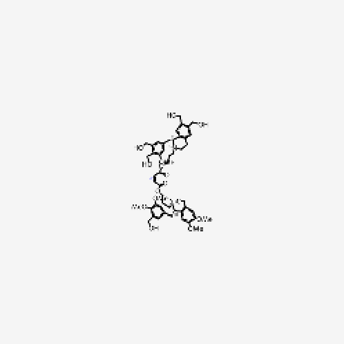 COc1cc2c(cc1OC)[C@@H](Cc1cc(CO)c(OC)c(OC)c1)[N@+](C)(CCCOC(=O)/C=C\C(=O)OCCC[N@+]1(C)CCc3cc(CO)c(CO)cc3[C@H]1Cc1cc(CO)c(CO)c(OC)c1)CC2